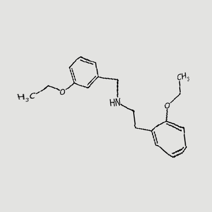 CCOc1cccc(CNCCc2ccccc2OCC)c1